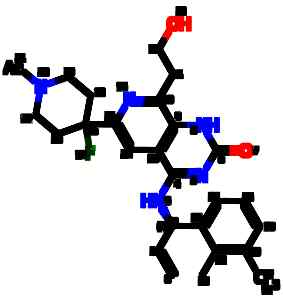 C=C[C@@H](Nc1nc(=O)[nH]c2c(CCO)nc(C3(F)CCN(C(C)=O)CC3)cc12)c1cccc(C(F)(F)F)c1C